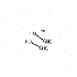 O=CO.O=CO.[Fe]